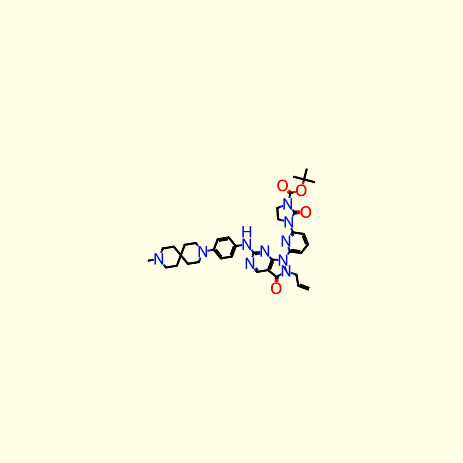 C=CCn1c(=O)c2cnc(Nc3ccc(N4CCC5(CCN(C)CC5)CC4)cc3)nc2n1-c1cccc(N2CCN(C(=O)OC(C)(C)C)C2=O)n1